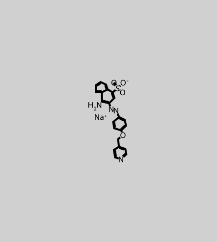 Nc1c(N=Nc2ccc(OCc3ccncc3)cc2)cc(S(=O)(=O)[O-])c2ccccc12.[Na+]